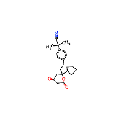 CC(C)(C#N)c1ccc(CCC2(C3CCCC3)CC(=O)CC(=O)O2)cc1